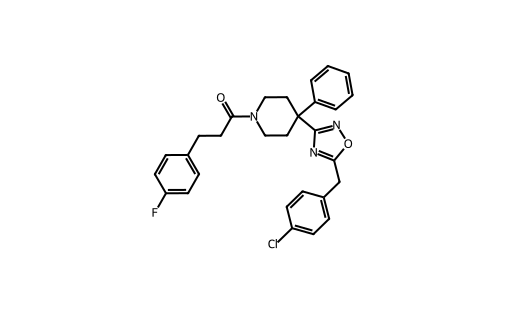 O=C(CCc1ccc(F)cc1)N1CCC(c2ccccc2)(c2noc(Cc3ccc(Cl)cc3)n2)CC1